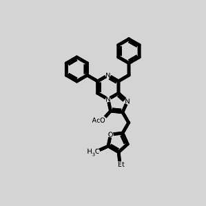 CCc1cc(Cc2nc3c(Cc4ccccc4)nc(-c4ccccc4)cn3c2OC(C)=O)oc1C